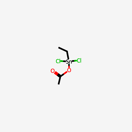 C[CH2][Sn]([Cl])([Cl])[O]C(C)=O